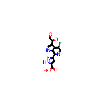 O=CC(=O)c1c[nH]c2c(-c3cc(C(=O)O)[nH]n3)ncc(F)c12